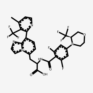 Cc1ccnc(-c2ccc(CC(NC(=O)c3c(F)cc(N4CCOC[C@@H]4C(F)(F)F)cc3F)C(=O)O)n3ccnc23)c1C(F)(F)F